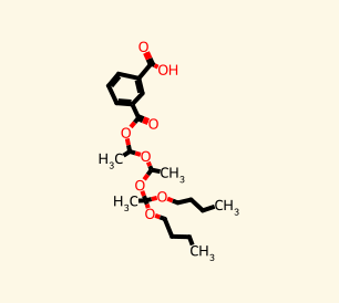 CCCCOC(C)(OCCCC)OC(C)OC(C)OC(=O)c1cccc(C(=O)O)c1